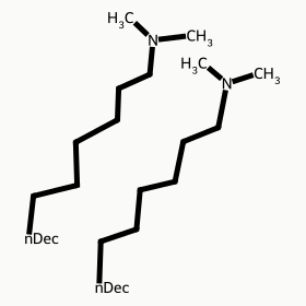 CCCCCCCCCCCCCCCCN(C)C.CCCCCCCCCCCCCCCCN(C)C